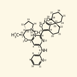 C[C@H](Oc1cc(Nc2ccccn2)nc(-c2onc3c2CCC[C@@]32CCCCC2=O)n1)[C@@H]1CCCN1C